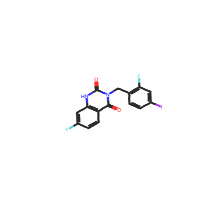 O=c1[nH]c2cc(F)ccc2c(=O)n1Cc1ccc(I)cc1F